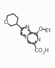 CCOc1nc(C(=O)O)cn2cc(C3CCCOC3)nc12